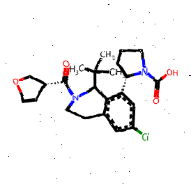 CC(C)(C)C1c2c(cc(Cl)cc2[C@@H]2CCCN2C(=O)O)CCN1C(=O)[C@@H]1CCOC1